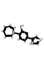 Fc1cc(-c2cs[c]n2)ccc1N1C=CC=CC=C1